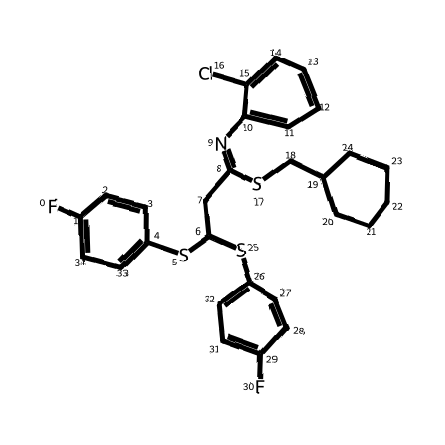 Fc1ccc(SC(CC(=Nc2ccccc2Cl)SCC2CCCCC2)Sc2ccc(F)cc2)cc1